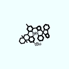 Cc1cc2c3c(c1)C1CC4(C)CCCCC4(C)c4cc(C(C)(C)C)cc(c41)B3N1c3ccccc3C3(c4ccccc4-c4ccccc43)c3cccc-2c31